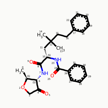 C[C@@H]1OCC(=O)[C@H]1NC(=O)[C@H](CC(C)(C)CCc1ccccc1)NC(=O)c1ccccc1